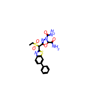 CCS(=O)(=O)C(C1=NN(C(N)=O)C(C(N)=O)O1)c1nc2ccc(-c3ccccc3)cc2s1